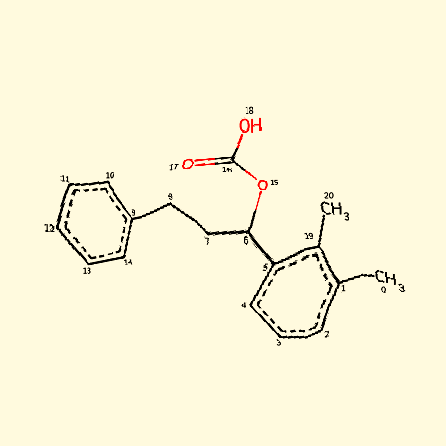 Cc1cccc(C(CCc2ccccc2)OC(=O)O)c1C